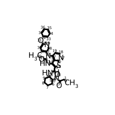 CCC(=O)N[C@H]1CCCC[C@H]1NC(=O)c1sc2nccc3c2c1NC(=O)N3c1cnc(Oc2ccccc2)cc1C